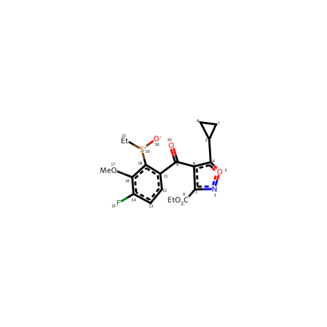 CCOC(=O)c1noc(C2CC2)c1C(=O)c1ccc(F)c(OC)c1[S+]([O-])CC